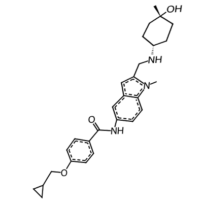 Cn1c(CN[C@H]2CC[C@@](C)(O)CC2)cc2cc(NC(=O)c3ccc(OCC4CC4)cc3)ccc21